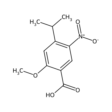 COc1cc(C(C)C)c([N+](=O)[O-])cc1C(=O)O